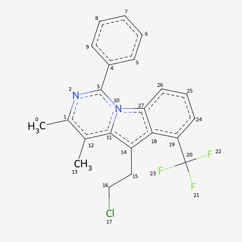 Cc1nc(-c2ccccc2)n2c(c1C)c(CCCl)c1c(C(F)(F)F)cccc12